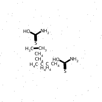 C.C.C.C.C.C.CC.NC(O)=S.NC(O)=S